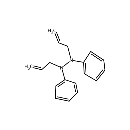 C=CCN(c1ccccc1)N(CC=C)c1ccccc1